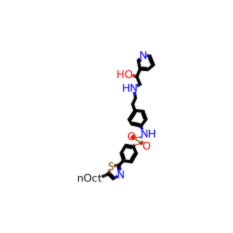 CCCCCCCCc1cnc(-c2ccc(S(=O)(=O)Nc3ccc(CCNCC(O)c4cccnc4)cc3)cc2)s1